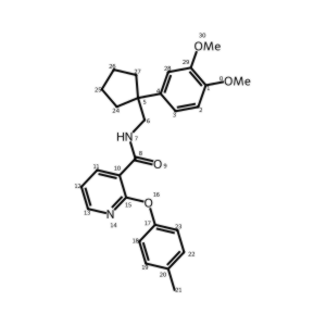 COc1ccc(C2(CNC(=O)c3cccnc3Oc3ccc(C)cc3)CCCC2)cc1OC